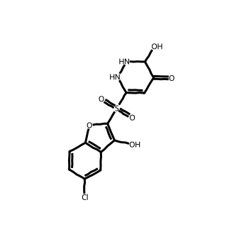 O=C1C=C(S(=O)(=O)c2oc3ccc(Cl)cc3c2O)NNC1O